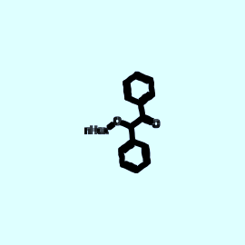 CCCCCCOC(C(=O)c1ccccc1)c1ccccc1